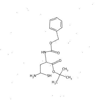 CC(C)(C)OC(=O)C(CC(N)S)NC(=O)OCc1ccccc1